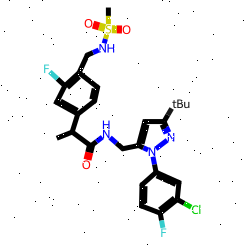 CC(C(=O)NCc1cc(C(C)(C)C)nn1-c1ccc(F)c(Cl)c1)c1ccc(CNS(C)(=O)=O)c(F)c1